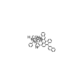 CC1(C)N=C(c2ccccc2)N(c2cncc(-c3ccc4c(-c5ccc6ccccc6c5)c5ccccc5c(-c5ccc6ccccc6c5)c4c3)c2)C1(C)C